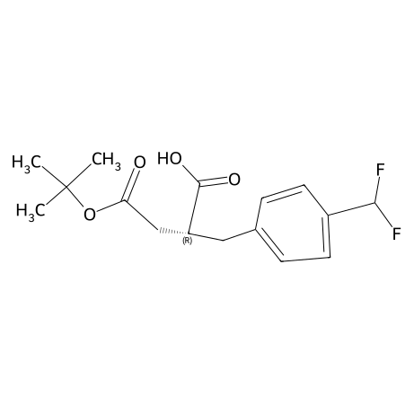 CC(C)(C)OC(=O)C[C@@H](Cc1ccc(C(F)F)cc1)C(=O)O